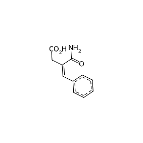 NC(=O)C(=Cc1ccccc1)CC(=O)O